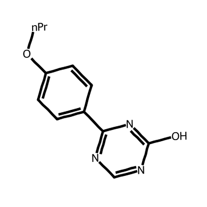 CCCOc1ccc(-c2ncnc(O)n2)cc1